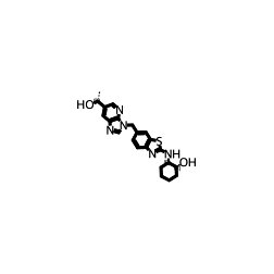 C[C@@H](O)c1cnc2c(c1)ncn2Cc1ccc2nc(N[C@@H]3CCCC[C@H]3O)sc2c1